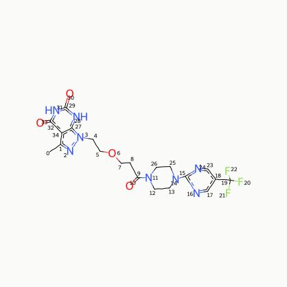 Cc1nn(CCOCCC(=O)N2CCN(c3ncc(C(F)(F)F)cn3)CC2)c2[nH]c(=O)[nH]c(=O)c12